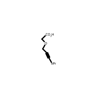 CCCC#CCOCC(=O)O